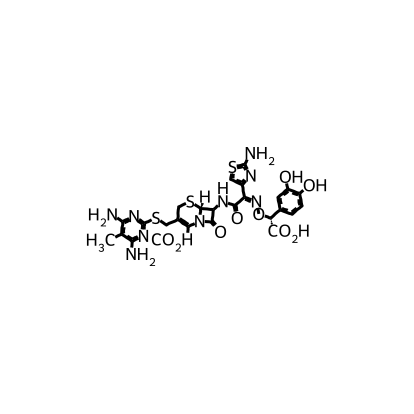 Cc1c(N)nc(SCC2=C(C(=O)O)N3C(=O)C(NC(=O)/C(=N\O[C@@H](C(=O)O)c4ccc(O)c(O)c4)c4csc(N)n4)[C@H]3SC2)nc1N